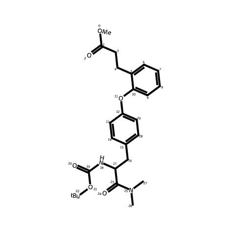 COC(=O)CCc1ccccc1Oc1ccc(CC(NC(=O)OC(C)(C)C)C(=O)N(C)C)cc1